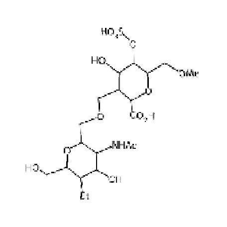 CCC1C(CO)OC(COCC2C(C(=O)O)OC(COC)C(OS(=O)(=O)O)C2O)C(NC(C)=O)C1O